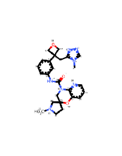 Cn1cnnc1CC1(c2cccc(NC(=O)N3CC4(CCN(C(=O)O)C4)Oc4cccnc43)c2)COC1